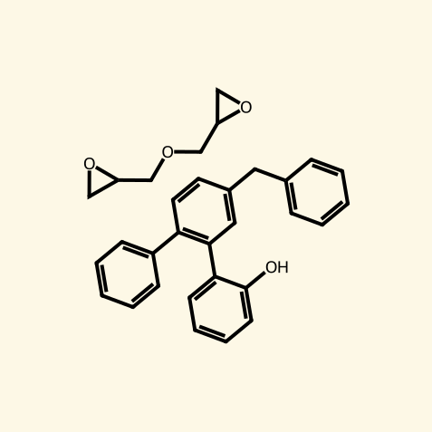 C(OCC1CO1)C1CO1.Oc1ccccc1-c1cc(Cc2ccccc2)ccc1-c1ccccc1